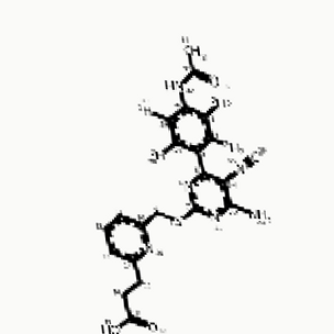 [2H]c1c([2H])c(-c2nc(SCc3cccc(CCC(=O)O)n3)nc(N)c2[N+]#[C-])c([2H])c([2H])c1NC(C)=O